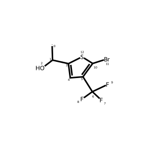 [CH2]C(O)c1cc(C(F)(F)F)c(Br)s1